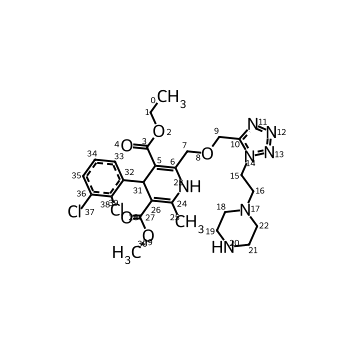 CCOC(=O)C1=C(COCc2nnnn2CCN2CCNCC2)NC(C)=C(C(=O)OC)C1c1cccc(Cl)c1Cl